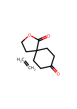 C=C.O=C1CCC2(CCOC2=O)CC1